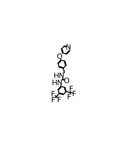 O=C(NCc1ccc(Oc2ccncc2)cc1)Nc1cc(C(F)(F)F)cc(C(F)(F)F)c1